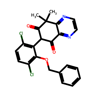 CC1(C)C(=O)C(c2c(Cl)ccc(Cl)c2OCc2ccccc2)C(=O)c2nccnc21